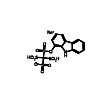 O=S(=O)([O-])C(S(=O)(=O)O)(S(=O)(=O)O)S(=O)(=O)Oc1cccc2c1[nH]c1ccccc12.[Na+]